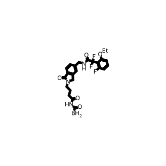 BC(=O)NC(=O)CCCN1Cc2cc(CNC(=O)C(F)(F)c3c(F)cccc3OCC)ccc2C1=O